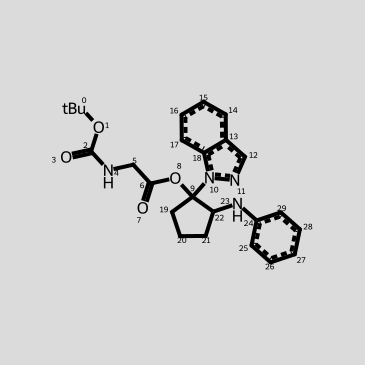 CC(C)(C)OC(=O)NCC(=O)OC1(n2ncc3ccccc32)CCCC1Nc1ccccc1